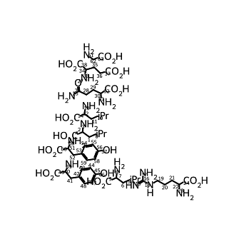 CC(C)CC(N)C(=O)O.CC(C)CC(N)C(=O)O.CC(C)CC(N)C(=O)O.N=C(N)NCCCC(N)C(=O)O.NC(=O)CCC(N)C(=O)O.NC(CCC(=O)O)C(=O)O.NC(Cc1ccc(O)cc1)C(=O)O.NC(Cc1ccc(O)cc1)C(=O)O.NCC(=O)O